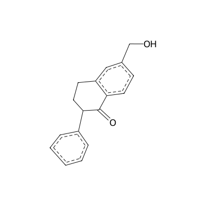 O=C1c2ccc(CO)cc2CCC1c1ccccc1